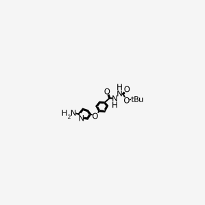 CC(C)(C)OC(=O)NNC(=O)c1ccc(Oc2ccc(N)nc2)cc1